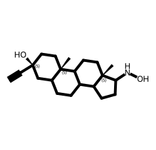 C#C[C@]1(O)CC[C@@]2(C)C(CCC3C2CC[C@]2(C)C(NO)CCC32)C1